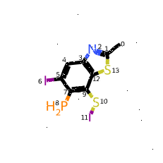 Cc1nc2cc(I)c(P)c(SI)c2s1